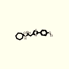 CCOc1ccc(-c2nc(CC(=O)NC3(C(=O)O)CCCCCC3)cs2)cc1